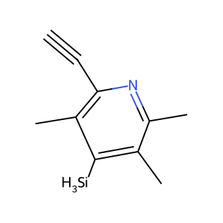 C#Cc1nc(C)c(C)c([SiH3])c1C